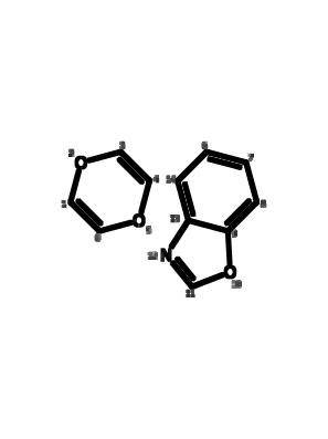 C1=COC=CO1.c1ccc2ocnc2c1